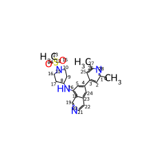 Cc1cc(-c2cc(NC3CCN(S(C)(=O)=O)CC3)c3cnccc3c2)cc(C)n1